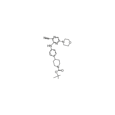 CC(C)(C)OC(=O)N1CCC(c2ccc(Nc3nc(N4CCOCC4)cnc3C#N)cc2)CC1